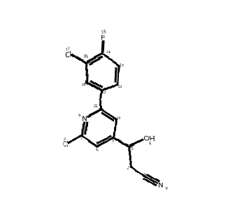 N#CCC(O)c1cc(Cl)nc(-c2ccc(F)c(Cl)c2)c1